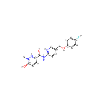 Cn1nc(C(=O)Nc2ccc(COc3ccc(F)cc3)cn2)ccc1=O